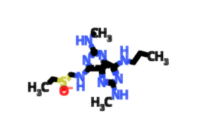 CCCNc1nc(NC)nc2c(NC[S+]([O-])CC)nc(NC)nc12